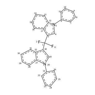 FC(F)(c1cn(-c2ccccc2)c2ccccc12)c1cn(-c2ccccc2)c2ccccc12